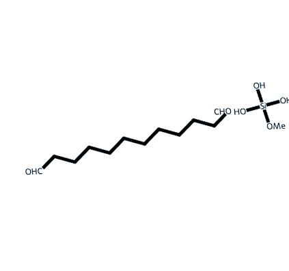 CO[Si](O)(O)O.O=CCCCCCCCCCCC=O